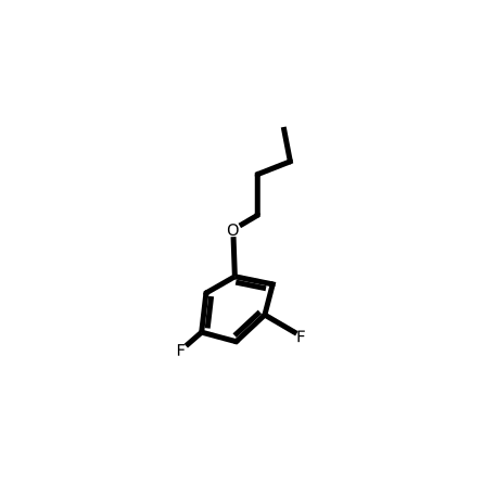 CCCCOc1cc(F)cc(F)c1